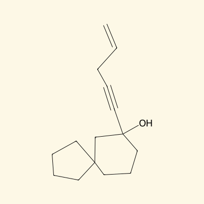 C=CCC#CC1(O)CCCC2(CCCC2)C1